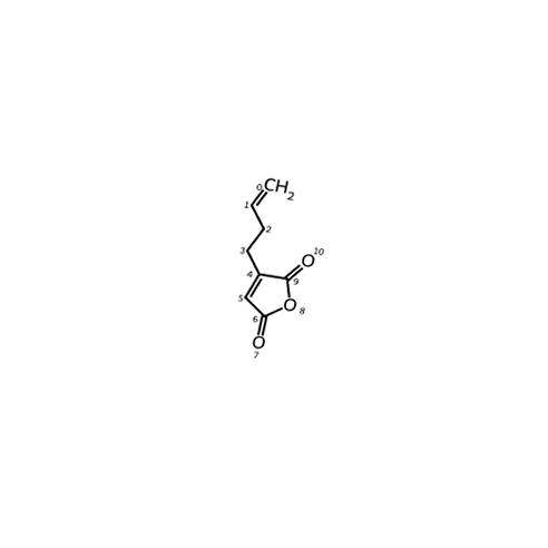 C=CCCC1=CC(=O)OC1=O